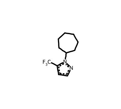 FC(F)(F)c1ccnn1C1CCCCCC1